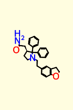 NC(=O)C[C@@H]1CCN(CCc2ccc3c(c2)CCO3)C1(c1ccccc1)c1ccccc1